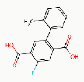 Cc1ccccc1-c1cc(C(=O)O)c(F)cc1C(=O)O